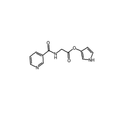 O=C(CNC(=O)c1cccnc1)Oc1cc[nH]c1